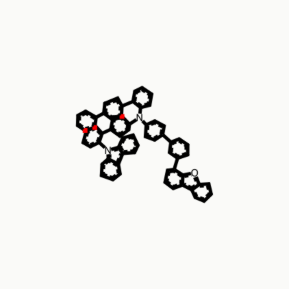 c1ccc(-c2ccc(-c3ccccc3N(c3ccc(-c4cccc(-c5cccc6c5oc5ccccc56)c4)cc3)c3ccc(-c4ccccc4-n4c5ccccc5c5ccccc54)cc3)cc2)cc1